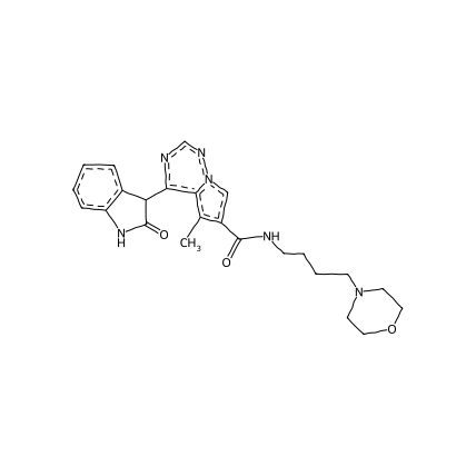 Cc1c(C(=O)NCCCCN2CCOCC2)cn2ncnc(C3C(=O)Nc4ccccc43)c12